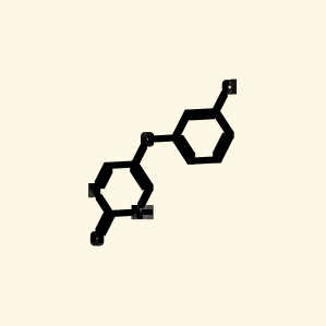 O=c1ncc(Oc2cccc(Cl)c2)c[nH]1